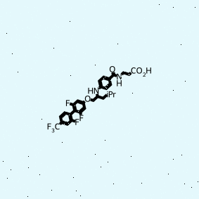 CC(C)CC(COc1cc(F)c(-c2ccc(C(F)(F)F)cc2F)c(F)c1)Nc1ccc(C(=O)NCCC(=O)O)cc1